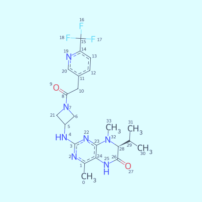 Cc1nc(NC2CN(C(=O)Cc3ccc(C(F)(F)F)nc3)C2)nc2c1NC(=O)[C@H](C(C)C)N2C